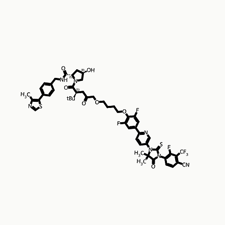 Cc1ncsc1-c1ccc(CNC(=O)[C@@H]2C[C@@H](O)CN2C(=O)[C@@H](CC(=O)COCCCCOc2c(F)cc(-c3ccc(N4C(=S)N(c5ccc(C#N)c(C(F)(F)F)c5F)C(=O)C4(C)C)cn3)cc2F)C(C)(C)C)cc1